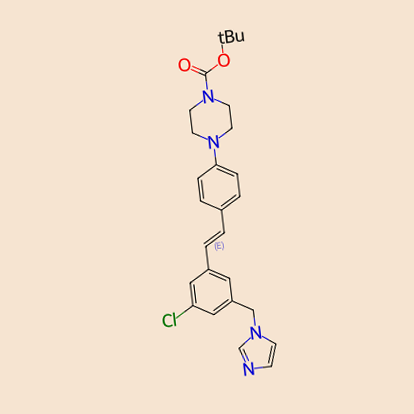 CC(C)(C)OC(=O)N1CCN(c2ccc(/C=C/c3cc(Cl)cc(Cn4ccnc4)c3)cc2)CC1